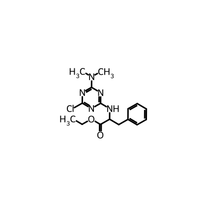 CCOC(=O)C(Cc1ccccc1)Nc1nc(Cl)nc(N(C)C)n1